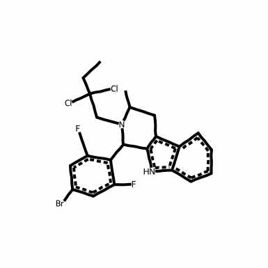 CCC(Cl)(Cl)CN1C(C)Cc2c([nH]c3ccccc23)C1c1c(F)cc(Br)cc1F